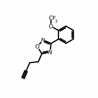 C#CCCc1nc(-c2ccccc2OC(F)(F)F)no1